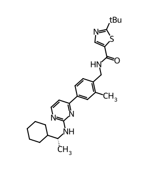 Cc1cc(-c2ccnc(N[C@H](C)C3CCCCC3)n2)ccc1CNC(=O)c1cnc(C(C)(C)C)s1